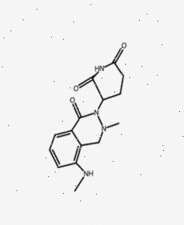 CNc1cccc2c1CN(C)N(C1CCC(=O)NC1=O)C2=O